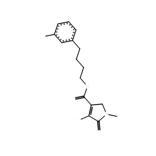 CN1CC(C(=O)NCCCCc2cccc(C(F)(F)F)c2)=C(O)C1=O